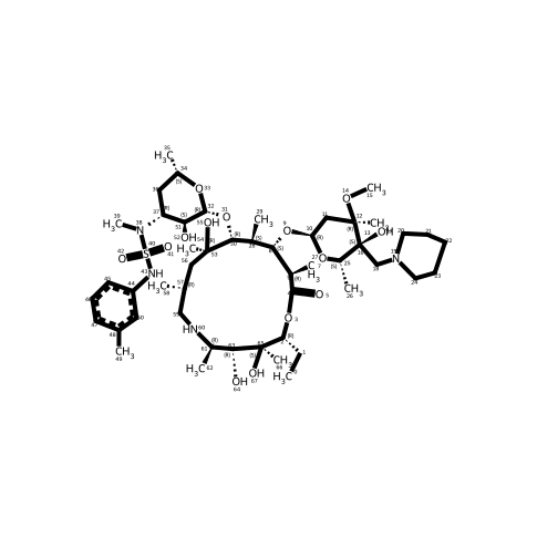 CC[C@H]1OC(=O)[C@H](C)[C@@H](O[C@H]2C[C@@](C)(OC)[C@](O)(CN3CCCCC3)[C@H](C)O2)[C@H](C)[C@@H](O[C@H]2O[C@@H](C)C[C@@H](N(C)S(=O)(=O)Nc3cccc(C)c3)[C@@H]2O)[C@](C)(O)C[C@@H](C)CN[C@H](C)[C@@H](O)[C@]1(C)O